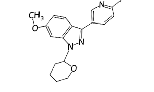 COc1ccc2c(-c3ccc(F)nc3)nn(C3CCCCO3)c2c1